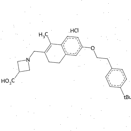 CC1=C(CN2CC(C(=O)O)C2)CCc2cc(OCCc3ccc(C(C)(C)C)cc3)ccc21.Cl